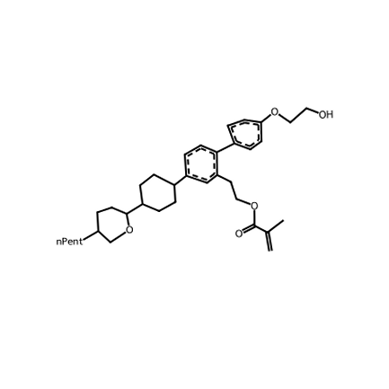 C=C(C)C(=O)OCCc1cc(C2CCC(C3CCC(CCCCC)CO3)CC2)ccc1-c1ccc(OCCO)cc1